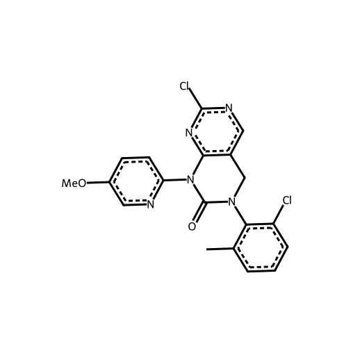 COc1ccc(N2C(=O)N(c3c(C)cccc3Cl)Cc3cnc(Cl)nc32)nc1